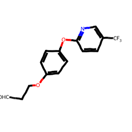 O=CCCOc1ccc(Oc2ccc(C(F)(F)F)cn2)cc1